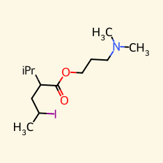 CC(I)CC(C(=O)OCCCN(C)C)C(C)C